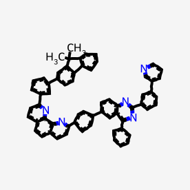 CC1(C)c2ccccc2-c2ccc(-c3cccc(-c4ccc5ccc6ccc(-c7ccc(-c8ccc9nc(-c%10cccc(-c%11cccnc%11)c%10)nc(-c%10ccccc%10)c9c8)cc7)nc6c5n4)c3)cc21